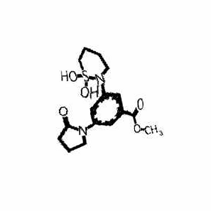 COC(=O)c1cc(N2CCCC2=O)cc(N2CCCCS2(O)O)c1